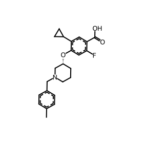 Cc1ccc(CN2CCC[C@@H](Oc3cc(F)c(C(=O)O)cc3C3CC3)C2)cc1